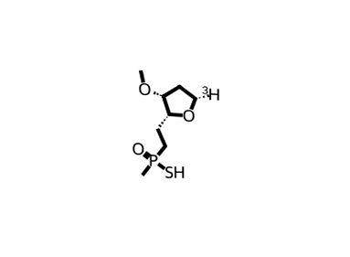 [3H][C@H]1C[C@@H](OC)[C@@H](CCP(C)(=O)S)O1